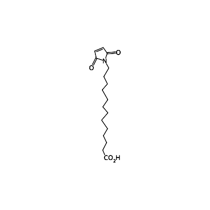 O=C(O)CCCCCCCCCCCCN1C(=O)C=CC1=O